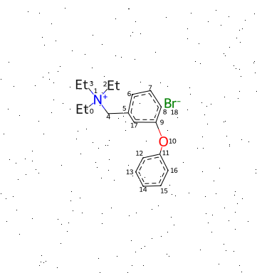 CC[N+](CC)(CC)Cc1cccc(Oc2ccccc2)c1.[Br-]